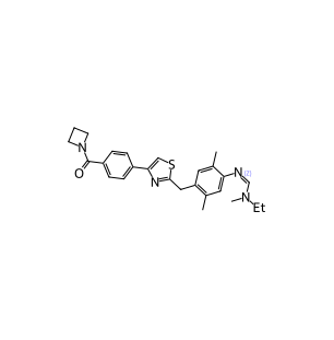 CCN(C)/C=N\c1cc(C)c(Cc2nc(-c3ccc(C(=O)N4CCC4)cc3)cs2)cc1C